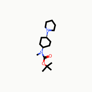 CN(C(=O)OC(C)(C)C)[C@H]1CC[C@@H](N2CCCCC2)CC1